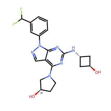 O[C@@H]1CCN(c2nc(N[C@H]3C[C@H](O)C3)nc3c2cnn3-c2cccc(C(F)F)c2)C1